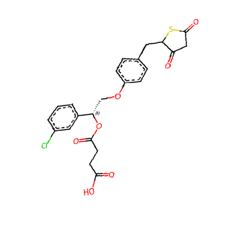 O=C(O)CCC(=O)O[C@@H](COc1ccc(CC2SC(=O)CC2=O)cc1)c1cccc(Cl)c1